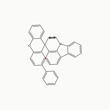 c1ccc(-c2ccc3c(c2)C2(c4ccccc4O3)c3ccccc3-n3c4ccccc4c4cccc2c43)cc1